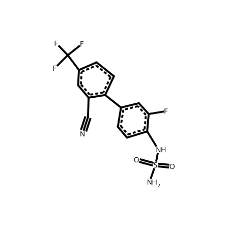 N#Cc1cc(C(F)(F)F)ccc1-c1ccc(NS(N)(=O)=O)c(F)c1